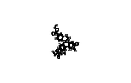 CCOC(=O)N1CCC(Oc2ccc(NS(=O)(=O)CC)cc2-c2cn(C)c(=O)cc2OCC)CC1